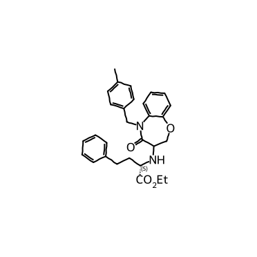 CCOC(=O)[C@H](CCc1ccccc1)NC1COc2ccccc2N(Cc2ccc(C)cc2)C1=O